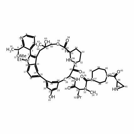 CCn1c(-c2cccnc2[C@H](C)OC)c2c3cc(ccc31)-c1cc(O)cc(c1)C[C@H](NC(=O)[C@H](C(C)C)N(C)C(=O)N1CCCN(C(=O)[C@H]3CN3)CC1)C(=O)N1CCC[C@H](N1)C(=O)OCC(C)(C)C2